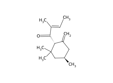 C=C1C[C@@H](C)CC(C)(C)[C@@H]1C(=O)C(C)=CC